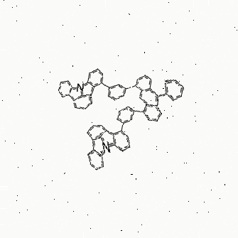 c1ccc(-c2c3cccc(-c4cccc(-c5cccc6c5c5cccc7c8ccccc8n6c75)c4)c3cc3c(-c4cccc(-c5cccc6c5c5cccc7c8ccccc8n6c75)c4)cccc23)cc1